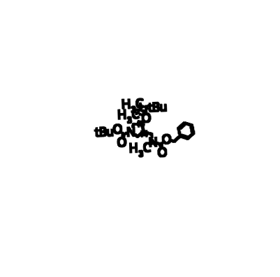 CN(C[C@H]1CN(C(=O)OC(C)(C)C)C[C@H]1O[Si](C)(C)C(C)(C)C)C(=O)OCc1ccccc1